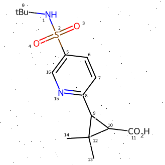 CC(C)(C)NS(=O)(=O)c1ccc(C2C(C(=O)O)C2(C)C)nc1